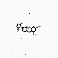 CCCc1cc(C)c(Oc2ccc(N3C(=O)C=CC3=O)cc2)c(C)c1